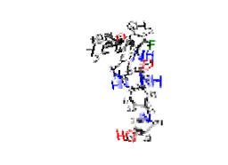 Cc1cc(F)c(Nc2ccnc3c2C(=O)Nc2cc(CN4CC[C@@H](O)C4)ccc2N3)cc1O[Si](C)(C)C(C)(C)C